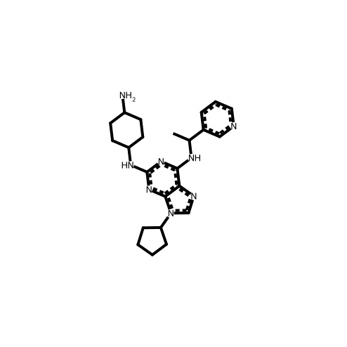 CC(Nc1nc(NC2CCC(N)CC2)nc2c1ncn2C1CCCC1)c1cccnc1